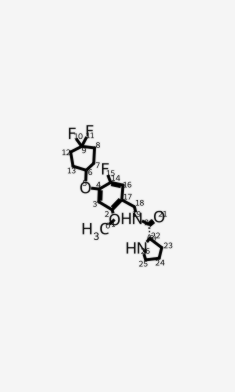 COc1cc(OC2CCC(F)(F)CC2)c(F)cc1CNC(=O)[C@@H]1CCCN1